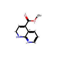 CC(C)(C)OC(=O)C1=CCNc2ncccc21